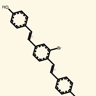 Oc1ccc(/C=C/c2ccc(/C=C/c3ccc(O)cc3)c(Br)c2)cc1